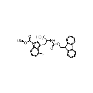 CC(C)(C)OC(=O)n1cc(CC(NC(=O)OCC2c3ccccc3-c3ccccc32)C(=O)O)c2c(F)cccc21